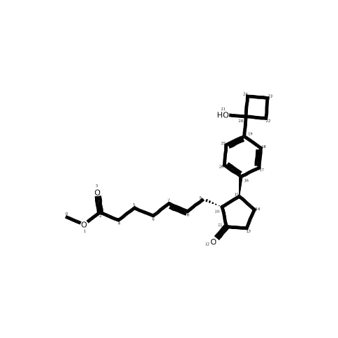 COC(=O)CCCC=CC[C@H]1C(=O)CC[C@@H]1c1ccc(C2(O)CCC2)cc1